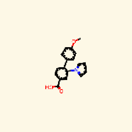 COc1ccc(-c2ccc(C(=O)O)cc2-n2cccc2)cc1